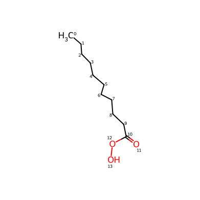 CCCCCCCCCCC(=O)OO